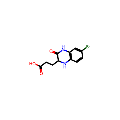 O=C(O)CCC1Nc2ccc(Br)cc2NC1=O